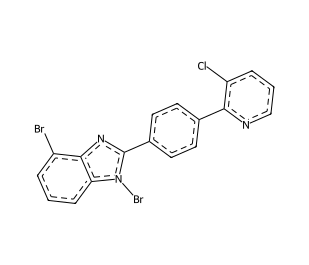 Clc1cccnc1-c1ccc(-c2nc3c(Br)cccc3n2Br)cc1